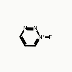 F[n+]1cccnn1